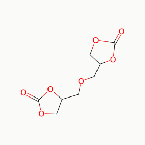 O=C1OCC(COCC2COC(=O)O2)O1